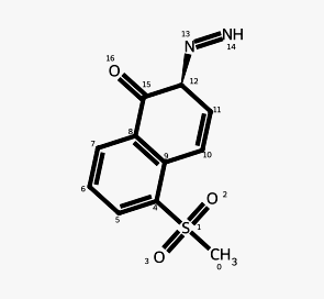 CS(=O)(=O)c1cccc2c1C=C[C@H](N=N)C2=O